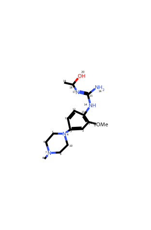 COc1cc(N2CCN(C)CC2)ccc1NC(N)=NC(C)O